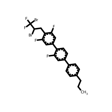 CCCc1ccc(-c2ccc(-c3cc(F)c(CC(Br)C(F)(F)Br)c(F)c3)c(F)c2)cc1